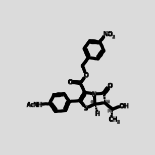 CC(=O)Nc1ccc(C2=C(C(=O)OCc3ccc([N+](=O)[O-])cc3)N3C(=O)[C@H]([C@@H](C)O)[C@H]3S2)cc1